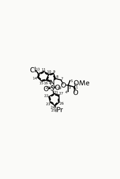 COC(=O)C(C)(C)OCc1cc2cc(Cl)ccc2n1S(=O)(=O)c1ccc(C(C)C)cc1